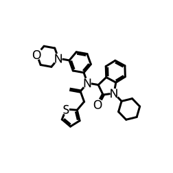 C=C(Cc1cccs1)N(c1cccc(N2CCOCC2)c1)C1C(=O)N(C2CCCCC2)c2ccccc21